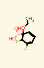 CCOC1(B(O)O)C=CC=C(F)C1F